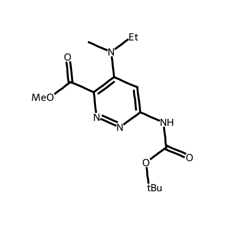 CCN(C)c1cc(NC(=O)OC(C)(C)C)nnc1C(=O)OC